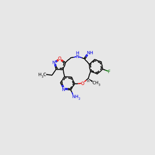 CCc1noc2c1-c1cnc(N)c(c1)O[C@H](C)c1cc(F)ccc1C(=N)NC2